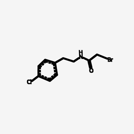 O=C(CBr)NCCc1ccc(Cl)cc1